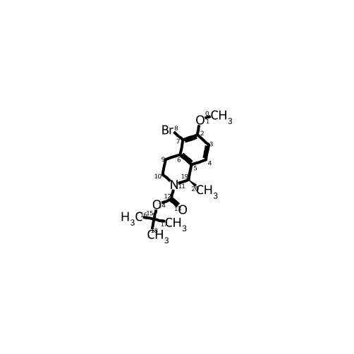 COc1ccc2c(c1Br)CCN(C(=O)OC(C)(C)C)[C@@H]2C